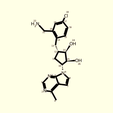 Cc1ncnc2c1ccn2[C@@H]1C[C@H](Cc2ccc(Cl)cc2CN)[C@@H](O)[C@H]1O